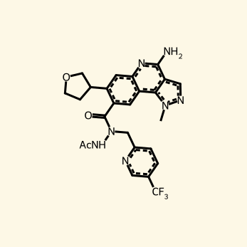 CC(=O)NN(Cc1ccc(C(F)(F)F)cn1)C(=O)c1cc2c(cc1C1CCOC1)nc(N)c1cnn(C)c12